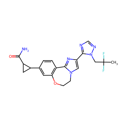 CC(F)(F)Cn1ncnc1-c1cn2c(n1)-c1ccc(C3CC3C(N)=O)cc1OCC2